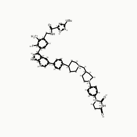 Cc1c(CNC(=O)c2nc(C(C)(C)C)no2)ccc(-c2n[nH]c3ncc(-c4ccc(C5CCN(CC6CCN(c7ccc(N8CCC(=O)NC8=O)cc7)CC6)CC5)cc4)cc23)c1F